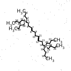 CCCC[N+](CC/C=C/CC/C=C/CC[P+](CCCC)(CCCC)CCCC)(CCCC)CCCC